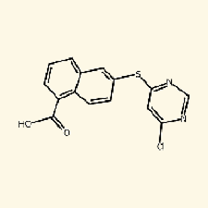 O=C(O)c1cccc2cc(Sc3cc(Cl)ncn3)ccc12